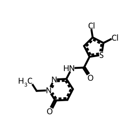 CCn1nc(NC(=O)c2cc(Cl)c(Cl)s2)ccc1=O